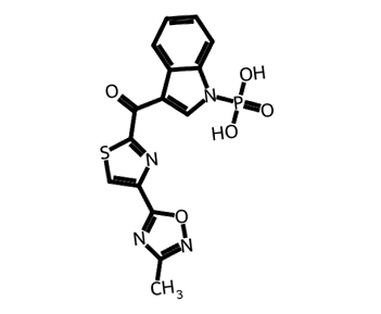 Cc1noc(-c2csc(C(=O)c3cn(P(=O)(O)O)c4ccccc34)n2)n1